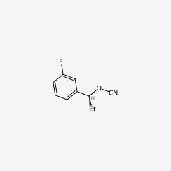 CC[C@H](OC#N)c1cccc(F)c1